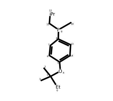 CCC(C)(C)Oc1ccc(P(C)CC(C)C)cc1